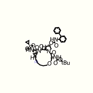 CC(C)(C)OC(=O)N[C@H]1COCCC/C=C\[C@@H]2C[C@@]2(C(=O)NS(=O)(=O)C2CC2)NC(=O)[C@@H]2C[C@@H](OC(=O)Nc3ccccc3-c3ccccc3)CN2C1=O